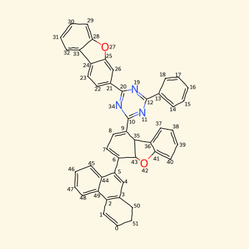 C1=Cc2c(cc(C3=CC=C(c4nc(-c5ccccc5)nc(-c5ccc6c(c5)oc5ccccc56)n4)C4c5ccccc5OC34)c3ccccc23)CC1